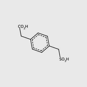 O=C(O)Cc1ccc(CS(=O)(=O)O)cc1